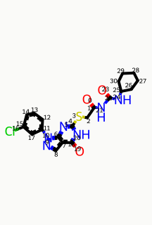 O=C(CSc1nc2c(cnn2-c2cccc(Cl)c2)c(=O)[nH]1)NC(=O)NC1CCCCC1